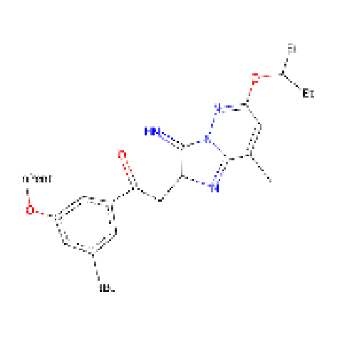 CCCCCOc1cc(C(=O)CC2N=C3C(C)=CC(OC(CC)CC)=NN3C2=N)cc(C(C)(C)C)c1